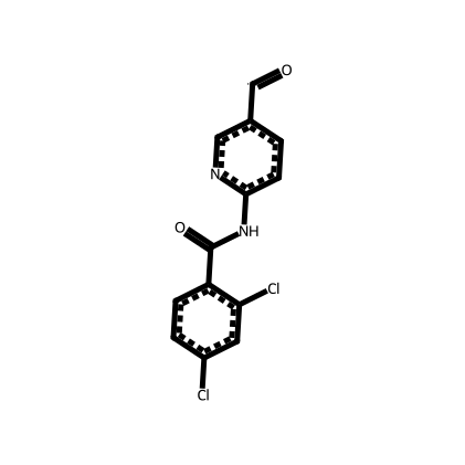 O=[C]c1ccc(NC(=O)c2ccc(Cl)cc2Cl)nc1